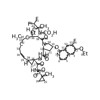 CCOc1cc2ccnc(O[C@@H]3C[C@H]4C(=O)N[C@]5(C(=O)NS(=O)(=O)C6(C)CC6)C[C@H]5/C=C\CC[C@H](C)C[C@@H](CC)[C@H](N(C(=O)O)C(C)(C)C(F)F)C(=O)N4C3)c2cc1F